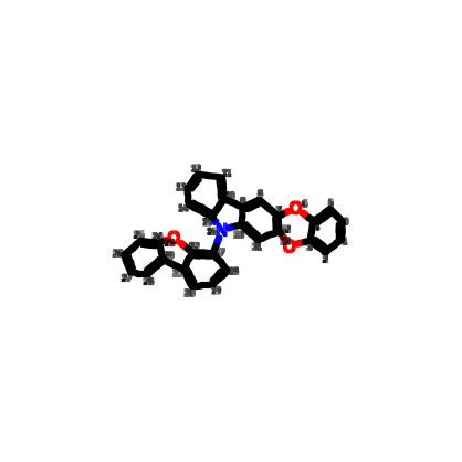 c1ccc2c(c1)Oc1cc3c4ccccc4n(-c4cccc5c4oc4ccccc45)c3cc1O2